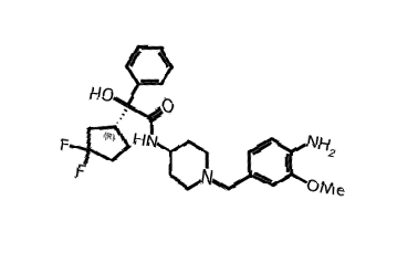 COc1cc(CN2CCC(NC(=O)C(O)(c3ccccc3)[C@@H]3CCC(F)(F)C3)CC2)ccc1N